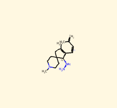 C=C(C)/C=C\C1=C(C)CC2(CCN(C)CC2)[C@@H]1NN